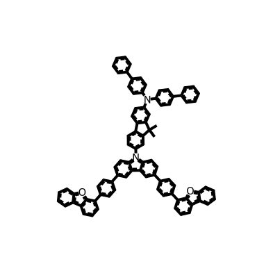 CC1(C)c2cc(N(c3ccc(-c4ccccc4)cc3)c3ccc(-c4ccccc4)cc3)ccc2-c2ccc(-n3c4ccc(-c5ccc(-c6cccc7c6oc6ccccc67)cc5)cc4c4cc(-c5ccc(-c6cccc7c6oc6ccccc67)cc5)ccc43)cc21